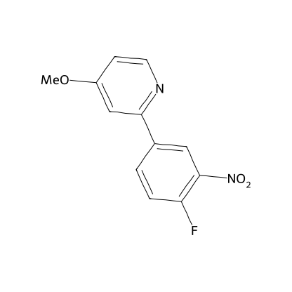 COc1ccnc(-c2ccc(F)c([N+](=O)[O-])c2)c1